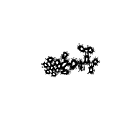 c1ccc(-c2c(-c3ccccc3)c(-c3ccccc3)c3c4cccc5c6c(-c7ccccc7)c(-c7ccc(-n8cc(-c9cc(-n%10c%11ccccc%11c%11ccccc%11%10)cc(-n%10c%11ccccc%11c%11ccccc%11%10)c9)nn8)cc7)cc(-c7ccccc7)c6c6cccc(c3c2-c2ccccc2)c6c54)cc1